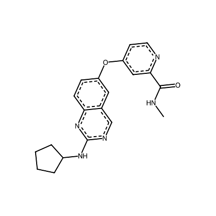 CNC(=O)c1cc(Oc2ccc3nc(NC4CCCC4)ncc3c2)ccn1